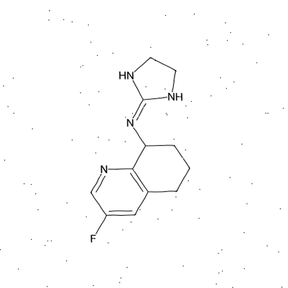 Fc1cnc2c(c1)CCCC2N=C1NCCN1